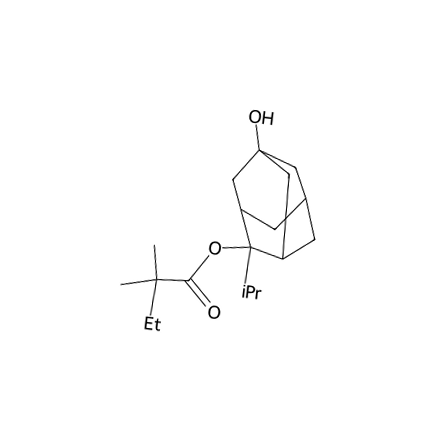 CCC(C)(C)C(=O)OC1(C(C)C)C2CC3CC1CC(O)(C3)C2